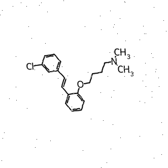 CN(C)CCCCOc1ccccc1C=Cc1cccc(Cl)c1